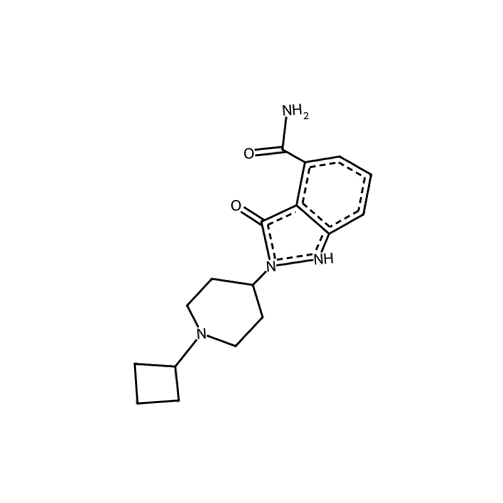 NC(=O)c1cccc2[nH]n(C3CCN(C4CCC4)CC3)c(=O)c12